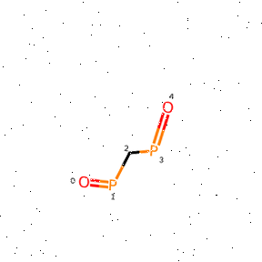 O=PCP=O